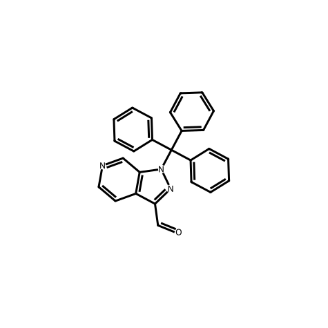 O=Cc1nn(C(c2ccccc2)(c2ccccc2)c2ccccc2)c2cnccc12